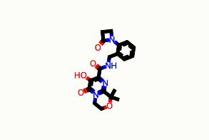 CC1(C)OCCn2c1nc(C(=O)NCc1ccccc1N1CCC1=O)c(O)c2=O